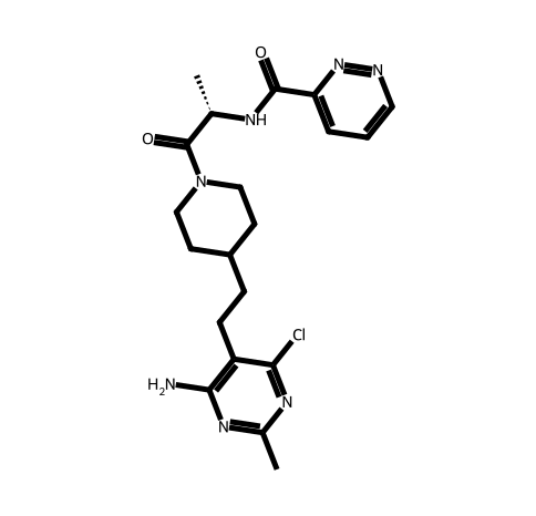 Cc1nc(N)c(CCC2CCN(C(=O)[C@H](C)NC(=O)c3cccnn3)CC2)c(Cl)n1